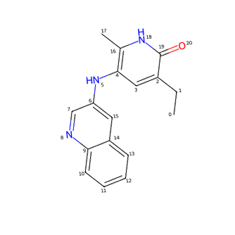 CCc1cc(Nc2cnc3ccccc3c2)c(C)[nH]c1=O